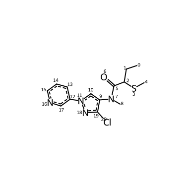 CCC(SC)C(=O)N(C)c1cn(-c2cccnc2)nc1Cl